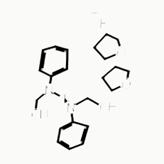 C1CCOC1.C1CCOC1.CC[N]([Ti+2][N](CC)c1ccccc1)c1ccccc1.[F-].[F-]